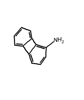 Nc1cccc2c1-c1ccccc1-2